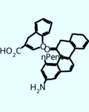 CCCCCc1cc(N)cc2ccc3c(c12)C(=O)CC1=C3C=CCC1.O=C(O)C1=COc2ccccc2C1